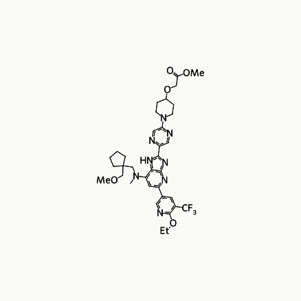 CCOc1ncc(-c2cc(N(C)CC3(COC)CCCC3)c3[nH]c(-c4cnc(N5CCC(OCC(=O)OC)CC5)cn4)nc3n2)cc1C(F)(F)F